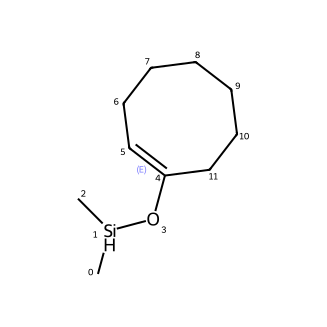 C[SiH](C)O/C1=C/CCCCCC1